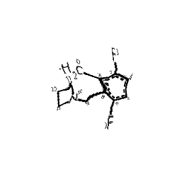 [CH2]c1c(F)ccc(F)c1CN1CCC1